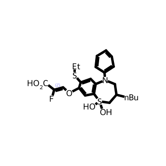 CCCCC1CN(c2ccccc2)c2cc(SCC)c(O/C=C(\F)C(=O)O)cc2S(O)(O)C1